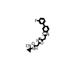 N#CC1(NC(=O)Cc2nnc(Cc3nc4ccc(-c5cccc(F)c5)cc4s3)o2)CC1